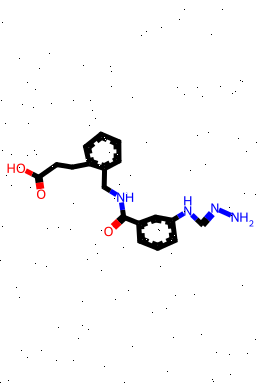 NN=CNc1cccc(C(=O)NCc2ccccc2CCC(=O)O)c1